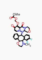 COC(=O)OCOc1c2n(ccc1=O)N(C1c3ccccc3C3OCCN(C)C3c3c1ccc(F)c3F)C1COCCN1C2=O